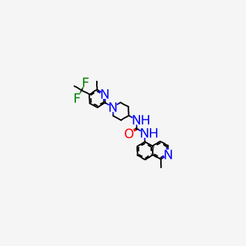 Cc1nc(N2CCC(NC(=O)Nc3cccc4c(C)nccc34)CC2)ccc1C(C)(F)F